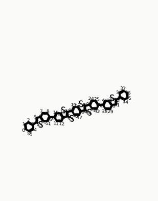 c1ccc(-c2cc3ccc(-c4ccc5c(c4)sc4c6cc7sc8c9ccc(-c%10ccc%11cc(-c%12ccccc%12)sc%11c%10)cc9sc8c7cc6sc54)cc3s2)cc1